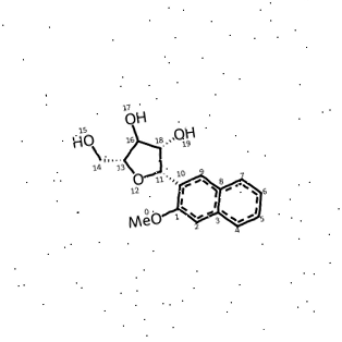 COc1cc2ccccc2cc1[C@@H]1O[C@H](CO)C(O)[C@@H]1O